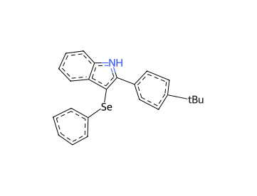 CC(C)(C)c1ccc(-c2[nH]c3ccccc3c2[Se]c2ccccc2)cc1